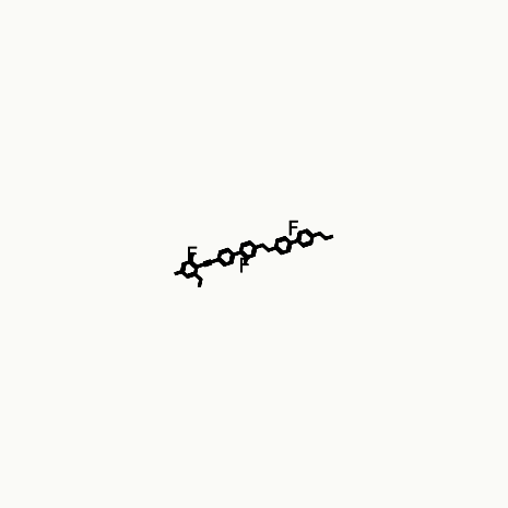 CCCc1ccc(-c2ccc(CCc3ccc(-c4ccc(C#Cc5c(F)cc(C)cc5CC)cc4)c(F)c3)cc2)c(F)c1